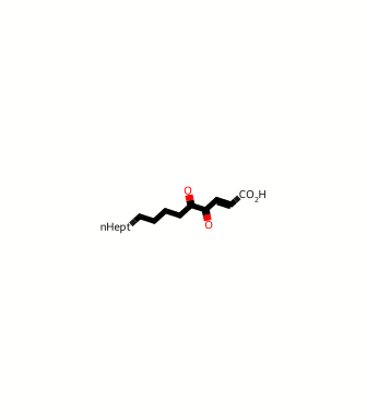 CCCCCCCCCCCC(=O)C(=O)C=CC(=O)O